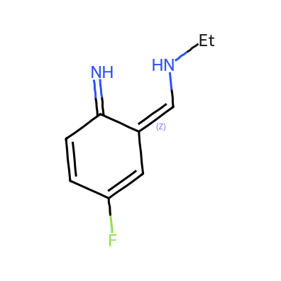 CCN/C=C1/C=C(F)C=CC1=N